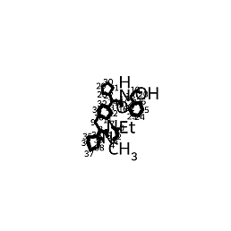 CCc1cc(C)n2c(n1)c(Cc1ccc(C(C(=O)NC(CO)c3ccccc3)C3CCCC3)cc1)c1ccccc12